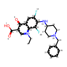 CCn1cc(C(=O)O)c(=O)c2cc(F)c(NC3CCN(Cc4ccccc4)CC3)c(F)c21